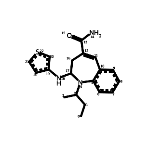 CCC(C)N1c2ccccc2C=C(C(N)=O)CC1Nc1ccsc1